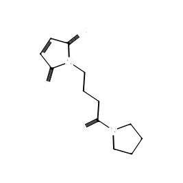 O=C(CCCN1C(=O)C=CC1=O)N1CCCC1